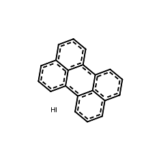 I.c1cc2cccc3c4cccc5cccc(c(c1)c23)c54